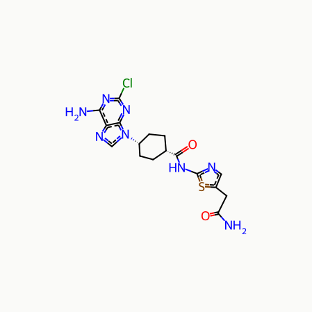 NC(=O)Cc1cnc(NC(=O)[C@H]2CC[C@@H](n3cnc4c(N)nc(Cl)nc43)CC2)s1